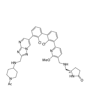 COc1nc(-c2cccc(-c3cccc(-c4cnc5nc(CNC6CCN(C(C)=O)CC6)nn5c4)c3Cl)c2Cl)ccc1CNC[C@H]1CCC(=O)N1